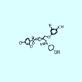 N#Cc1ccc(OCC2(CN[C@H]3CC[C@@H](O)CC3)CN(S(=O)(=O)c3ccc(Cl)cc3Cl)C2)cc1F